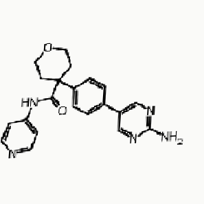 Nc1ncc(-c2ccc(C3(C(=O)Nc4ccncc4)CCOCC3)cc2)cn1